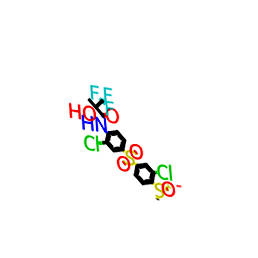 C[S+]([O-])c1ccc(S(=O)(=O)c2ccc(NC(=O)C(C)(O)C(F)(F)F)c(Cl)c2)cc1Cl